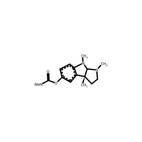 CNC(=O)Oc1ccc2c(c1)[C@@]1(C)CCN(C)C1N2C